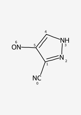 N#Cc1n[nH]cc1N=O